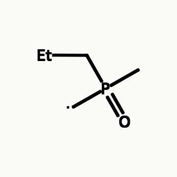 [CH2]P(C)(=O)CCC